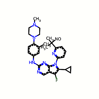 Cc1cc(Nc2ncc3c(F)c(C4CC4)n(-c4cccc(C(C)(C)N=O)n4)c3n2)ccc1N1CCN(C)CC1